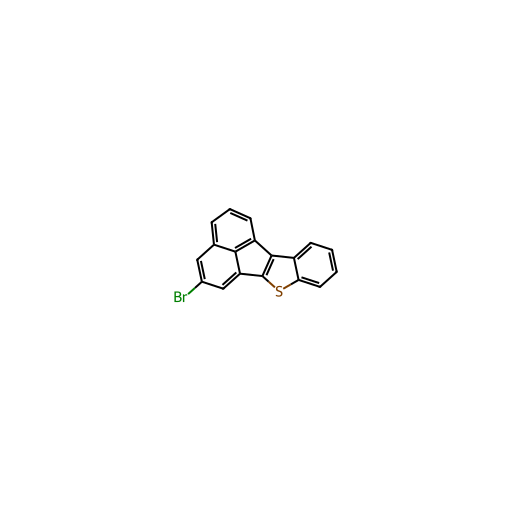 Brc1cc2c3c(cccc3c1)-c1c-2sc2ccccc12